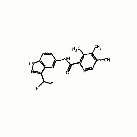 Cc1c(C#N)cnc(C(=O)Nc2ccc3[nH]nc(C(F)F)c3c2)c1C